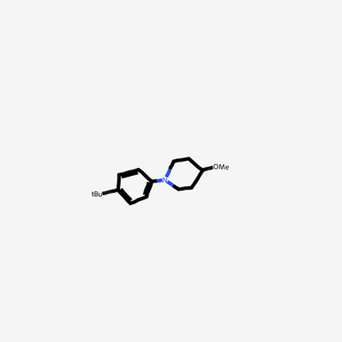 COC1CCN(c2ccc(C(C)(C)C)cc2)CC1